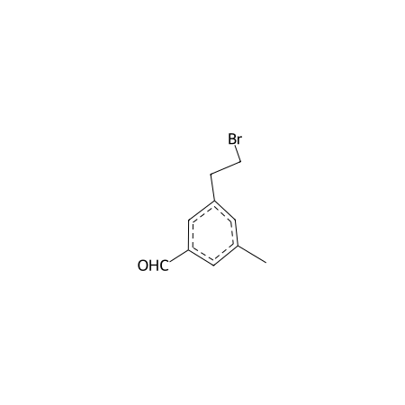 Cc1cc(C=O)cc(CCBr)c1